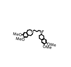 COc1cc2c(cc1OC)CCN(CCCN(C)C1CCc3cc(OC)c(OC)cc3C1)CC2